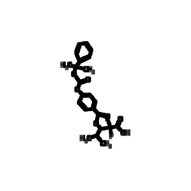 CC(C)C(OC(=O)c1ccc(OC(=O)OC(C)(C)c2ccccc2)cc1)C(F)(F)C(=O)O